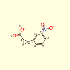 COC(=O)C1CC1c1cccc([N+](=O)[O-])c1